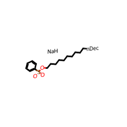 CCCCCCCCCCCCCCCCCCCCOS(=O)(=O)c1ccccc1.[NaH]